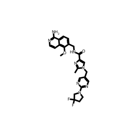 COc1c(CNC(=O)c2cn(Cc3cnc(N4CCC(F)(F)C4)nc3)c(C)n2)ccc2c(N)nccc12